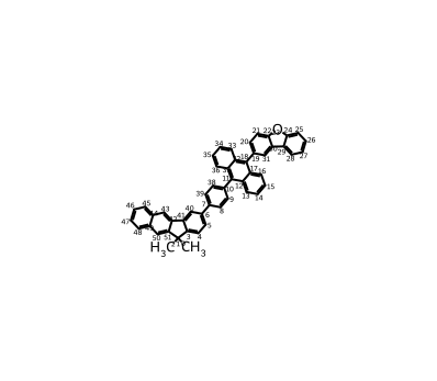 CC1(C)c2ccc(-c3ccc(-c4c5ccccc5c(-c5ccc6oc7ccccc7c6c5)c5ccccc45)cc3)cc2-c2cc3ccccc3cc21